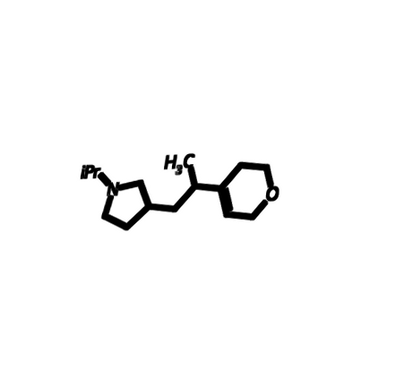 CC(CC1CCN(C(C)C)C1)C1=CCOCC1